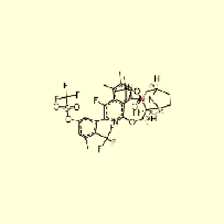 Cc1cc(OS(=O)(=O)C(F)(F)F)cc(-c2nc3c4c(nc(C)c(C)c4c2F)N2C[C@H]4CC[C@@H]([C@H]2[C@H](C)O3)N4C(=O)OC(C)(C)C)c1C(F)(F)F